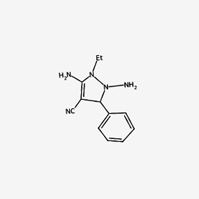 CCN1C(N)=C(C#N)C(c2ccccc2)N1N